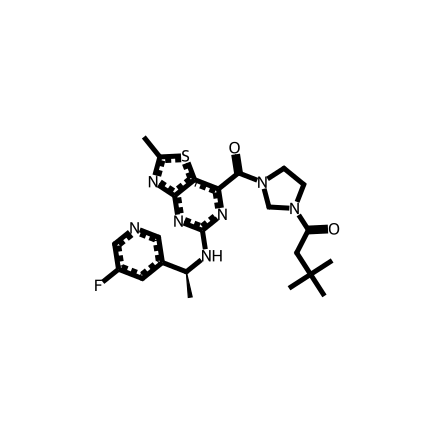 Cc1nc2nc(N[C@@H](C)c3cncc(F)c3)nc(C(=O)N3CCN(C(=O)CC(C)(C)C)C3)c2s1